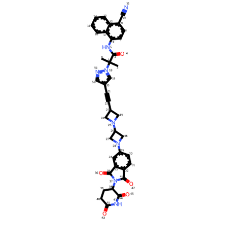 CC(C)(C(=O)Nc1ccc(C#N)c2ccccc12)n1cc(C#CC2CN(C3CN(c4ccc5c(c4)C(=O)N(C4CCC(=O)NC4=O)C5=O)C3)C2)cn1